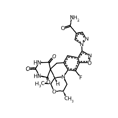 C[C@@H]1CN2c3c(cc4c(-n5cc(C(N)=O)cn5)noc4c3F)CC3(C(=O)NC(=O)NC3=O)[C@H]2[C@H](C)O1